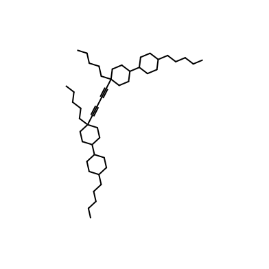 CCCCCC1CCC(C2CCC(C#CC#CC3(CCCCC)CCC(C4CCC(CCCCC)CC4)CC3)(CCCCC)CC2)CC1